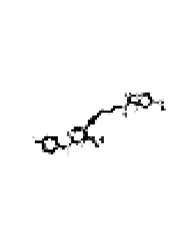 CNc1nc(Nc2ccc(F)cc2)ncc1C#CCCCNC(=O)[C@]1(C)C[C@@H](OC)CN1